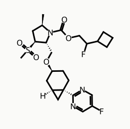 C[C@@H]1C[C@H](S(C)(=O)=O)[C@@H](CO[C@H]2CC[C@@]3(c4ncc(F)cn4)C[C@H]3C2)N1C(=O)OCC(F)C1CCC1